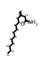 C=C(CCCCCCCCCCC)CC(N)=O